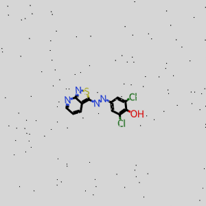 Oc1c(Cl)cc(/N=N/c2snc3ncccc23)cc1Cl